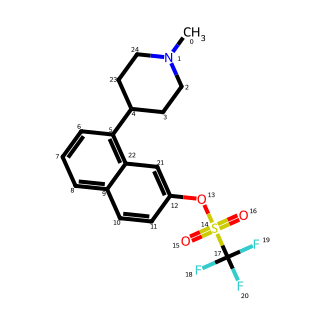 CN1CCC(c2cccc3ccc(OS(=O)(=O)C(F)(F)F)cc23)CC1